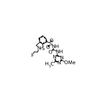 COc1nc(C)nc(NC(=O)NS(=O)(=O)c2cccc3c2SN(CCF)C3)n1